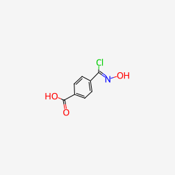 O=C(O)c1ccc(C(Cl)=NO)cc1